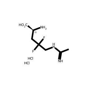 CC(=N)NCC(F)(F)C[C@H](N)C(=O)O.Cl.Cl